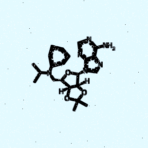 CC(C)N(C[C@H]1O[C@@H](n2cnc3c(N)ncnc32)[C@@H]2OC(C)(C)O[C@@H]21)c1ccccc1